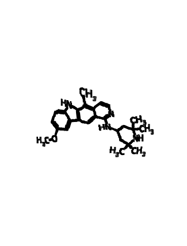 COc1ccc2[nH]c3c(C)c4ccnc(NC5CC(C)(C)NC(C)(C)C5)c4cc3c2c1